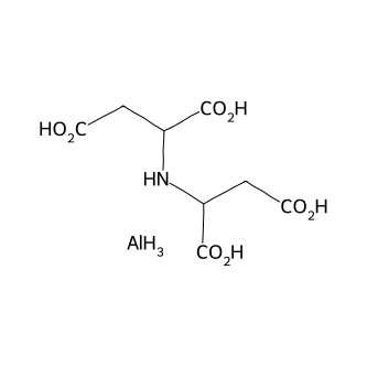 O=C(O)CC(NC(CC(=O)O)C(=O)O)C(=O)O.[AlH3]